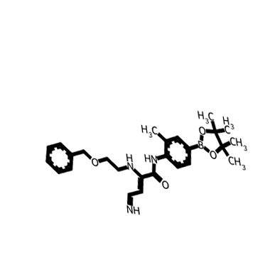 Cc1cc(B2OC(C)(C)C(C)(C)O2)ccc1NC(=O)/C(=C/C=N)NCCOCc1ccccc1